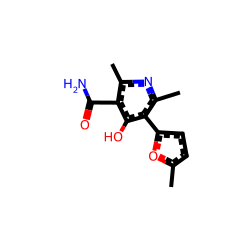 Cc1ccc(-c2c(C)nc(C)c(C(N)=O)c2O)o1